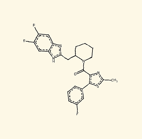 Cc1nc(C(=O)N2CCCCC2Cc2nc3cc(F)c(F)cc3[nH]2)c(-c2cccc(F)c2)s1